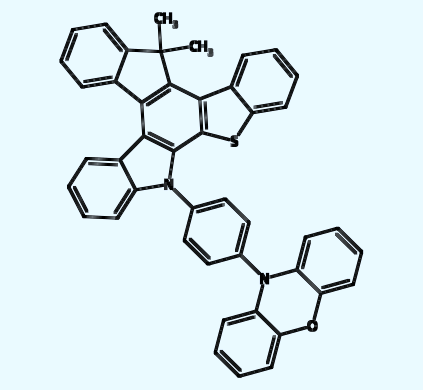 CC1(C)c2ccccc2-c2c1c1c3ccccc3sc1c1c2c2ccccc2n1-c1ccc(N2c3ccccc3Oc3ccccc32)cc1